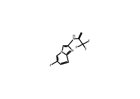 C=C(Nc1cn2cc(F)ccc2n1)C(F)(F)F